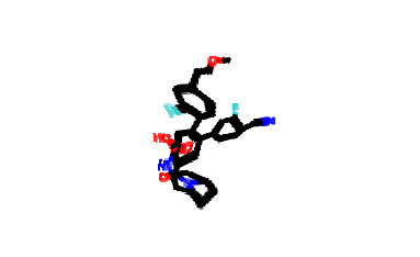 COCCc1ccc(-c2ccc(C(=O)N3C4CCC3CC(NC(=O)O)C4)cc2-c2ccc(C#N)c(F)c2)c(F)c1